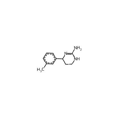 Cc1cccc(C2CCNC(N)=N2)c1